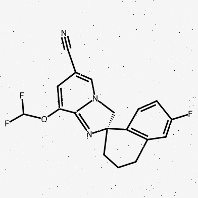 N#CC1=CN2C[C@]3(CCCc4cc(F)ccc43)N=C2C(OC(F)F)=C1